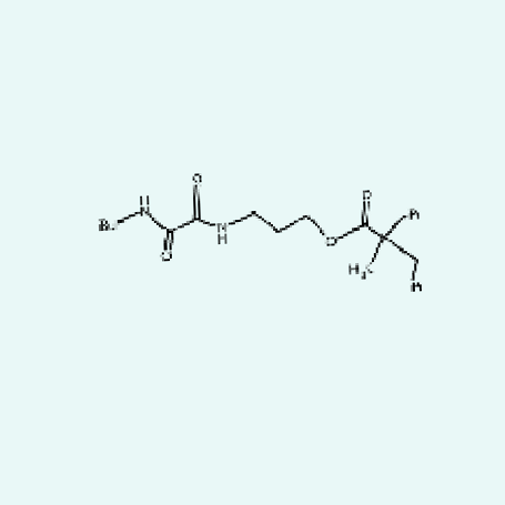 CCC(C)NC(=O)C(=O)NCCCOC(=O)C(C)(CC(C)C)C(C)C